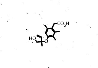 C=CC(C)(CO)Oc1cc(C)c(CC(=O)O)c(C)c1C